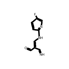 N=C/C(C=O)=C\Nc1ccc(F)cn1